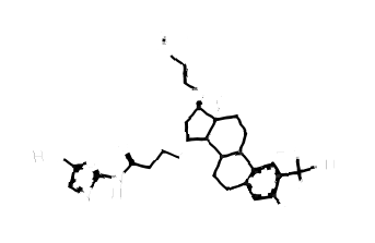 COCC/N=C1\C[C@@H](CCCC(=O)Nc2ncc(C)s2)C2C3CCc4cc(O)c(C(C)(C)C)cc4C3CC[C@]12C